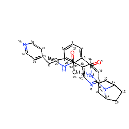 COc1cccc(C(=O)NC2CC3CCC(C2)N3c2ccc(C(=O)NCCc3ccncc3)cn2)c1C